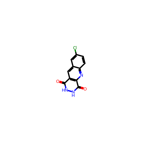 O=c1[nH][nH]c(=O)c2nc3ccc(Cl)cc3cc12